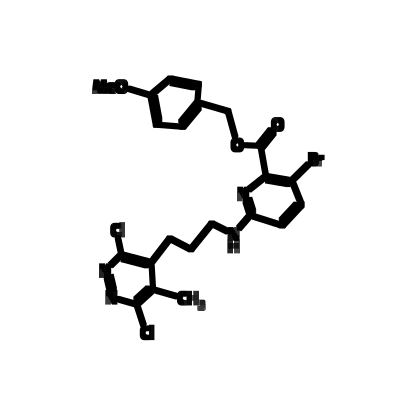 COc1ccc(COC(=O)c2nc(NCCCc3c(Cl)nnc(Cl)c3C)ccc2Br)cc1